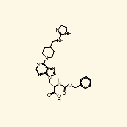 O=C(N[C@@H](Cn1cnc2c(N3CCC(CNC4=NCCN4)CC3)ncnc21)C(=O)O)OCc1ccccc1